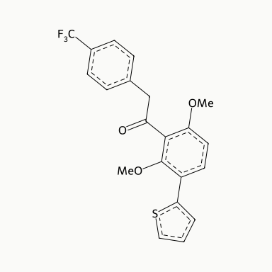 COc1ccc(-c2cccs2)c(OC)c1C(=O)Cc1ccc(C(F)(F)F)cc1